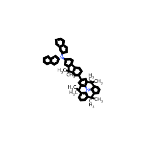 CC1(C)c2cc(-c3cc4c5c(c3)C(C)(C)c3cccc6c3N5c3c(cccc3C4(C)C)C6(C)C)ccc2-c2ccc(N(c3ccc4ccccc4c3)c3ccc4ccccc4c3)cc21